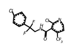 O=C(NCC(F)(F)c1ccc(Cl)cc1)c1c(C(F)(F)F)ccnc1Cl